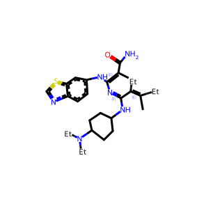 CC/C(C)=C(CC)/C(=N\C(Nc1ccc2ncsc2c1)=C(/C)C(N)=O)NC1CCC(N(CC)CC)CC1